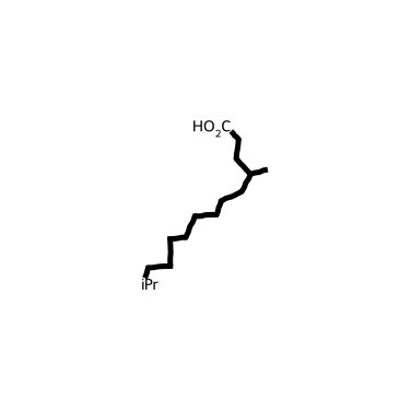 CC(C)CCCCCCCCC(C)CCC(=O)O